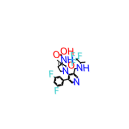 CC(NC(=O)c1cncc(-c2cc(F)cc(F)c2)c1N1CC[C@](C)(NC(=O)O)C1)C(F)(F)F